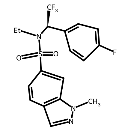 CCN([C@H](c1ccc(F)cc1)C(F)(F)F)S(=O)(=O)c1ccc2cnn(C)c2c1